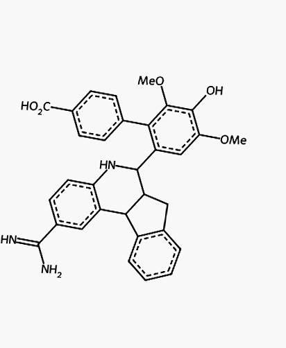 COc1cc(C2Nc3ccc(C(=N)N)cc3C3c4ccccc4CC23)c(-c2ccc(C(=O)O)cc2)c(OC)c1O